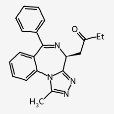 CCC(=O)C[C@@H]1N=C(c2ccccc2)c2ccccc2-n2c(C)nnc21